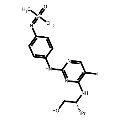 CC(C)[C@H](CO)Nc1nc(Nc2ccc(N=S(C)(C)=O)cc2)ncc1I